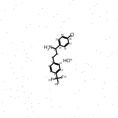 Cl.NC(CCc1ccc(C(F)(F)F)cc1)c1ccc(Cl)cc1